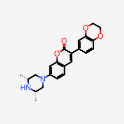 C[C@@H]1CN(c2ccc3cc(-c4ccc5c(c4)OCCO5)c(=O)oc3c2)C[C@H](C)N1